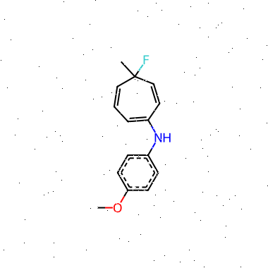 COc1ccc(NC2=CC=CC(C)(F)C=C2)cc1